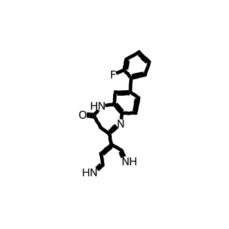 N=C/C=C(\C=N)C1=Nc2ccc(-c3ccccc3F)cc2NC(=O)C1